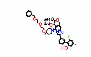 COC(=O)[C@@H](OC(C)(C)C)c1c(C)cc2nc(-c3cccc(-c4c(O)cc(C)cc4F)c3)cn2c1N1CCC(C)(OCCOCCOCc2ccccc2)CC1